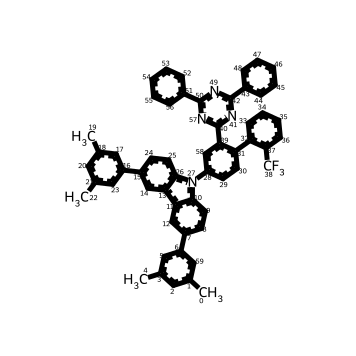 Cc1cc(C)cc(-c2ccc3c(c2)c2cc(-c4cc(C)cc(C)c4)ccc2n3-c2ccc(-c3ccccc3C(F)(F)F)c(-c3nc(-c4ccccc4)nc(-c4ccccc4)n3)c2)c1